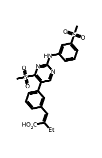 CCC(=Cc1cccc(-c2cnc(Nc3cccc(S(C)(=O)=O)c3)nc2S(C)(=O)=O)c1)C(=O)O